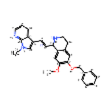 COc1cc2c(cc1OCc1ccccc1)CCNC2/C=C/c1cn(C)c2ncccc12